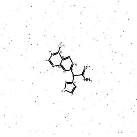 NC(=O)C(c1ccsc1)c1ccc2c(O)nccc2c1